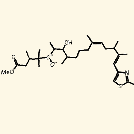 COC(=O)CC(C)C(C)(C)[S+]([O-])C(C)C(O)C(C)CCC/C(C)=C\CC(C)/C(C)=C/c1csc(C)n1